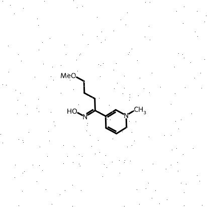 COCCCC(=NO)C1=CN(C)CC=C1